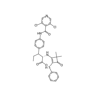 CCC(c1ccc(NC(=O)c2c(Cl)cncc2Cl)cc1)[C@H](NC1=C(Sc2ccccc2)C(=O)C1(C)C)C(=O)O